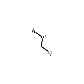 [CH]CCOCC